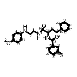 COc1ccc(NCCNC(=O)C(CCc2ccccc2)NC(=O)c2cccc(C)c2)cc1